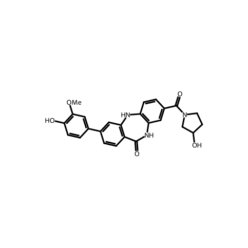 COc1cc(-c2ccc3c(c2)Nc2ccc(C(=O)N4CCC(O)C4)cc2NC3=O)ccc1O